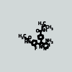 C=CC(=O)Nc1ccc(-c2nn3ncnc(N)c3c2-c2ccc(C(=O)NCC(C)C)cc2)c(F)c1